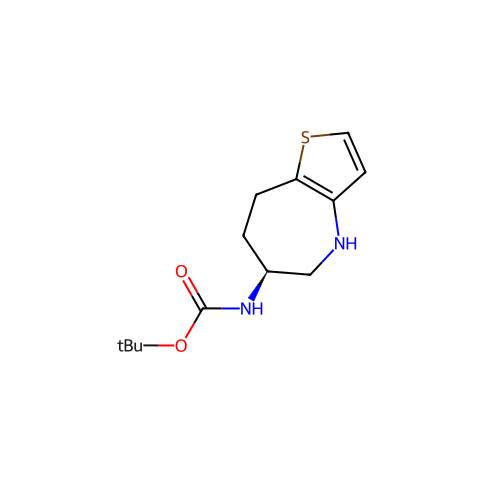 CC(C)(C)OC(=O)N[C@H]1CCc2sccc2NC1